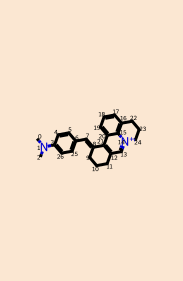 CN(C)c1ccc(C=C2CCCc3c[n+]4c5c(cccc5c32)CCC4)cc1